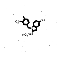 Cc1ccc(Cn2c(OC(=O)O)cc3cc(O)ccc32)cc1[N+](=O)[O-]